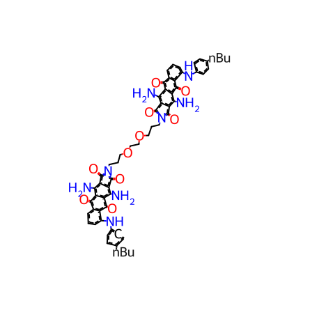 CCCCc1ccc(Nc2cccc3c(=O)c4c(N)c5c(=O)n(CCCOCCOCCCn6c(=O)c7c(N)c8c(=O)c9cccc(Nc%10ccc(CCCC)cc%10)c9c(=O)c8c(N)c7c6=O)c(=O)c5c(N)c4c(=O)c23)cc1